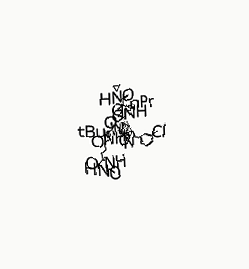 CCC[C@H](NC(=O)[C@@H]1C[C@]2(CC(c3cccc(Cl)c3)=NO2)CN1C(=O)[C@@H](NC(=O)CCC1NC(=O)NC1=O)C(C)(C)C)C(=O)C(=O)NC1CC1